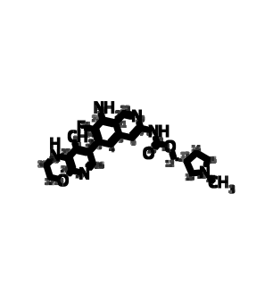 Cc1c(-c2cc3cc(NC(=O)OC[C@@H]4CCN(C)C4)ncc3c(N)c2F)cnc2c1NCCO2